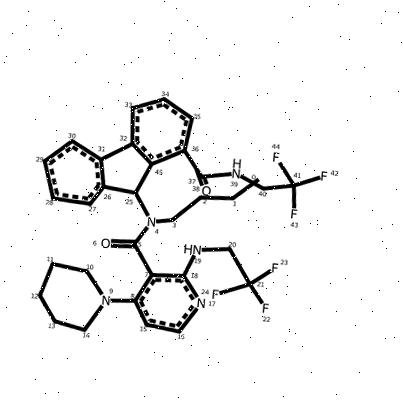 CCCCN(C(=O)c1c(N2CCCCC2)ccnc1NCC(F)(F)F)C1c2ccccc2-c2cccc(C(=O)NCC(F)(F)F)c21